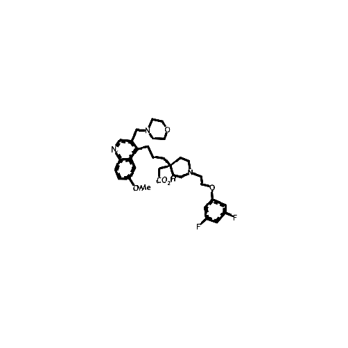 COc1ccc2ncc(CN3CCOCC3)c(CCCC3(CC(=O)O)CCN(CCOc4cc(F)cc(F)c4)CC3)c2c1